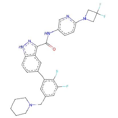 O=C(Nc1ccc(N2CC(F)(F)C2)nc1)c1n[nH]c2ccc(-c3cc(CN4CCCCC4)cc(F)c3F)cc12